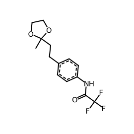 CC1(CCc2ccc(NC(=O)C(F)(F)F)cc2)OCCO1